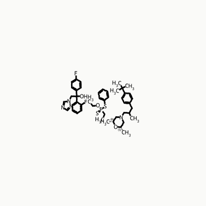 CC(Cc1ccc(C(C)(C)C)cc1)CN1C[C@@H](C)O[C@@H](C)C1.CCOP(=S)(CC)Sc1ccccc1.OC(Cn1cncn1)(c1ccc(F)cc1)c1ccccc1F